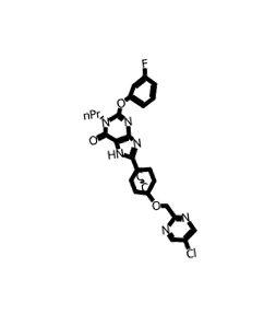 CCCn1c(Oc2cccc(F)c2)nc2nc(C34CCC(OCc5ncc(Cl)cn5)(CC3)CC4)[nH]c2c1=O